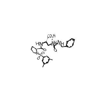 Cc1cc(C)cc(S(=O)(=O)N2CCC[C@H]2C(=O)N[C@@H](CNC(=O)NCc2ccccc2)C(=O)O)c1